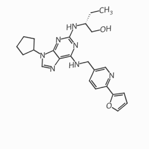 CC[C@H](CO)Nc1nc(NCc2ccc(-c3ccco3)nc2)c2ncn(C3CCCC3)c2n1